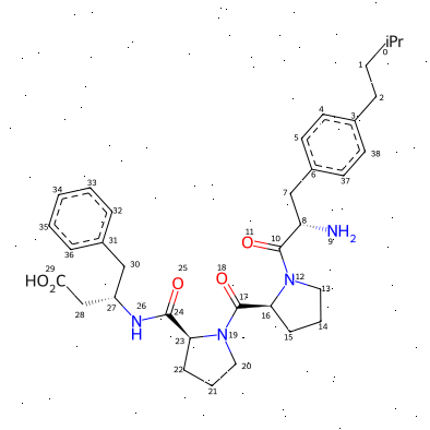 CC(C)CCc1ccc(C[C@H](N)C(=O)N2CCC[C@H]2C(=O)N2CCC[C@H]2C(=O)N[C@H](CC(=O)O)Cc2ccccc2)cc1